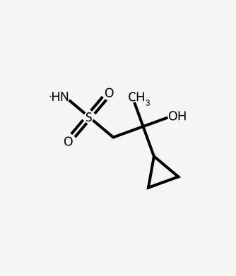 CC(O)(CS([NH])(=O)=O)C1CC1